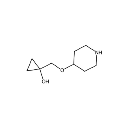 OC1(COC2CCNCC2)CC1